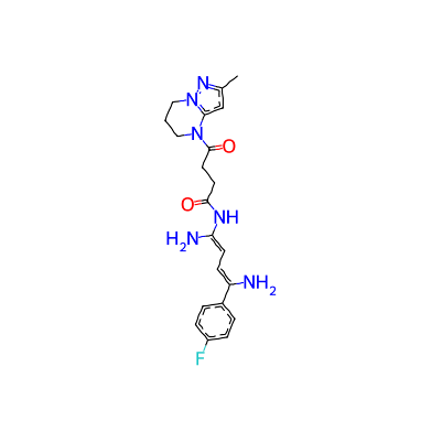 Cc1cc2n(n1)CCCN2C(=O)CCC(=O)N/C(N)=C/C=C(\N)c1ccc(F)cc1